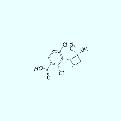 CC1(O)COC1c1c(Cl)ccc(C(=O)O)c1Cl